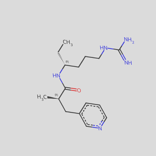 CC[C@H](CCCNC(=N)N)NC(=O)[C@H](C)Cc1cccnc1